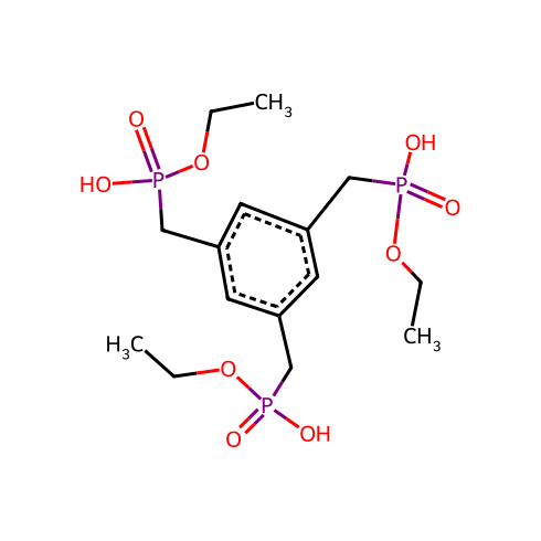 CCOP(=O)(O)Cc1cc(CP(=O)(O)OCC)cc(CP(=O)(O)OCC)c1